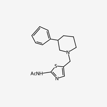 CC(=O)Nc1ncc(CN2CCCC(c3ccccc3)C2)s1